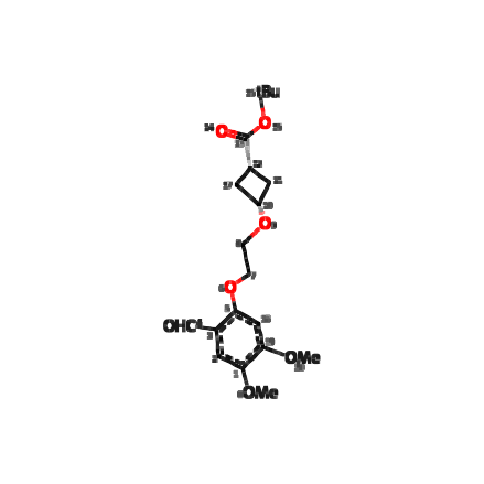 COc1cc(C=O)c(OCCO[C@H]2C[C@@H](C(=O)OC(C)(C)C)C2)cc1OC